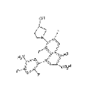 Nc1cc(-n2cc(C(=O)O)c(=O)c3cc(F)c(N4CCC(O)C4)c(F)c32)c(F)cc1F